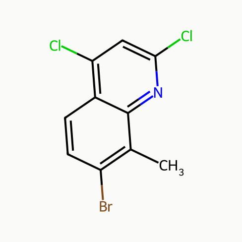 Cc1c(Br)ccc2c(Cl)cc(Cl)nc12